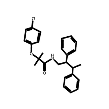 CC(c1ccccc1)C(CNC(=O)C(C)(C)Oc1ccc(Cl)cc1)c1ccccc1